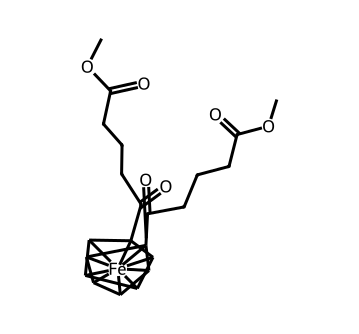 COC(=O)CCCC(=O)[C]12[CH]3[CH]4[CH]5[CH]1[Fe]45321678[CH]2[CH]1[CH]6[C]7(C(=O)CCCC(=O)OC)[CH]28